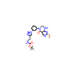 CSc1ncc2c(n1)NCCN(c1cccc(-n3cc(CCN(C)C(=O)OC(C)(C)C)nn3)c1)C2=O